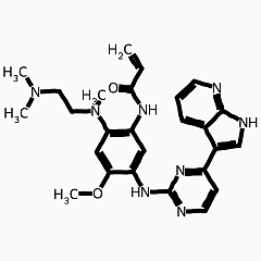 C=CC(=O)Nc1cc(Nc2nccc(-c3c[nH]c4ncccc34)n2)c(OC)cc1N(C)CCN(C)C